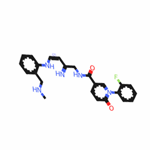 CNCc1ccccc1N/C=C\C(=N)CNC(=O)c1ccc(=O)n(-c2ccccc2F)c1